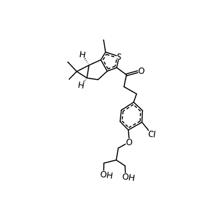 Cc1sc(C(=O)CCc2ccc(OCC(CO)CO)c(Cl)c2)c2c1[C@H]1[C@@H](C2)C1(C)C